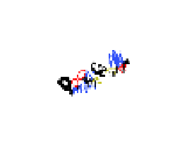 Cc1nnc(SCC2=C(C(=O)O)N3C(=O)C(NC(=O)NC(C)c4ccccc4)[C@@H]3SC2)o1